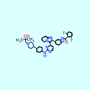 CC(C)(O)CN1CCC(c2ccc(Nc3nccc(-c4c(-c5cccc(NC(=O)c6c(F)cccc6F)c5)nc5ccccn45)n3)cc2)CC1